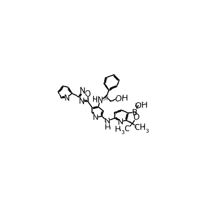 CC1(C)OB(O)c2ccc(Nc3cc(N[C@H](CO)c4ccccc4)c(-c4nc(-c5ccccn5)no4)cn3)nc21